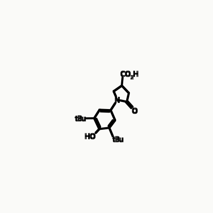 CC(C)(C)c1cc(N2CC(C(=O)O)CC2=O)cc(C(C)(C)C)c1O